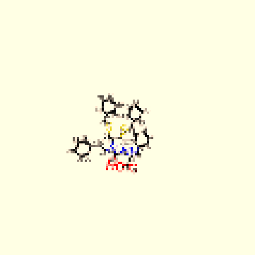 O=C(O)C(Cc1ccccc1)NC(=O)N(CCc1ccccc1)C(CSCc1ccccc1)CSCc1ccccc1